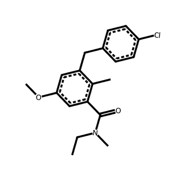 CCN(C)C(=O)c1cc(OC)cc(Cc2ccc(Cl)cc2)c1C